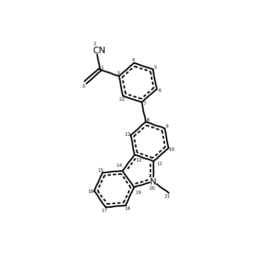 C=C(C#N)c1cccc(-c2ccc3c(c2)c2ccccc2n3C)c1